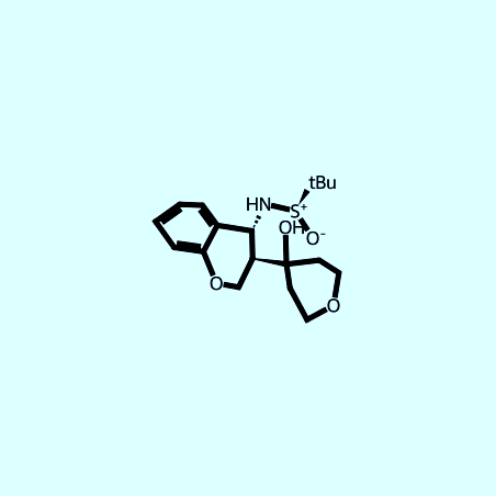 CC(C)(C)[S@@+]([O-])N[C@H]1c2ccccc2OC[C@@H]1C1(O)CCOCC1